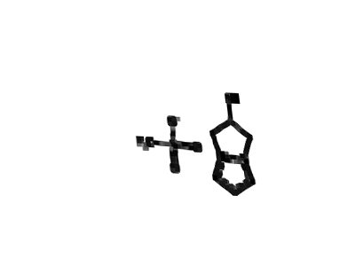 O=S(=O)([O-])C(F)(F)F.SC1Cn2ccc[n+]2C1